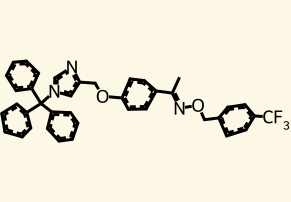 C/C(=N\OCc1ccc(C(F)(F)F)cc1)c1ccc(OCc2cn(C(c3ccccc3)(c3ccccc3)c3ccccc3)cn2)cc1